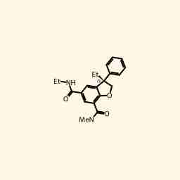 CCNC(=O)c1cc(C(=O)NC)c2c(c1)[C@](CC)(c1ccccc1)CO2